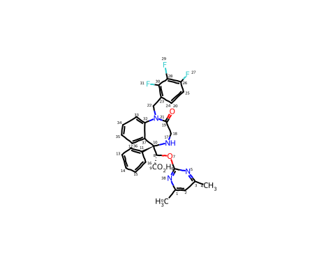 Cc1cc(C)nc(O[C@H](C(=O)O)[C@@]2(c3ccccc3)NCC(=O)N(Cc3ccc(F)c(F)c3F)c3ccccc32)n1